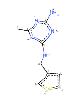 Cc1nc(N)nc(NCc2ccsc2)n1